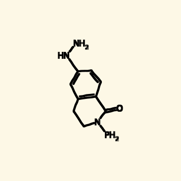 NNc1ccc2c(c1)CCN(P)C2=O